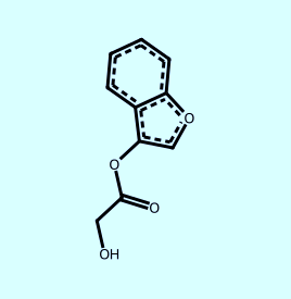 O=C(CO)Oc1coc2ccccc12